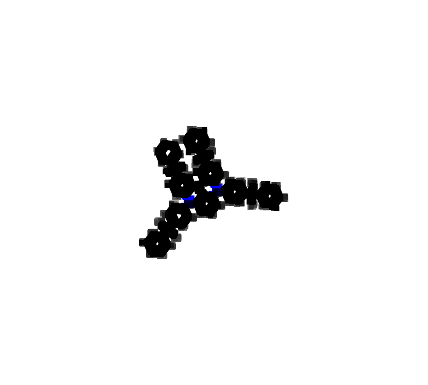 CC(C)(C1=CCCCC1)c1ccc2c(c1)B1c3cc(C(C)(C)c4ccccc4)ccc3N(c3ccc(C(C)(C)c4ccccc4)cc3)c3cccc(c31)N2C1=CC=C(C(C)(C)c2ccccc2)CC1